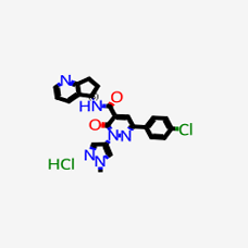 Cl.Cn1cc(-n2nc(-c3ccc(Cl)cc3)cc(C(=O)N[C@H]3CCc4ncccc43)c2=O)cn1